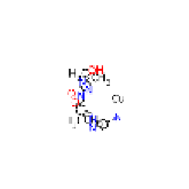 CC(C)(O)c1cnc(N2C[C@@]3(CCC(C)(C)[C@H](Cn4cnc5ccc(C#N)cc54)C3)OC2=O)cn1.[Cu][I]